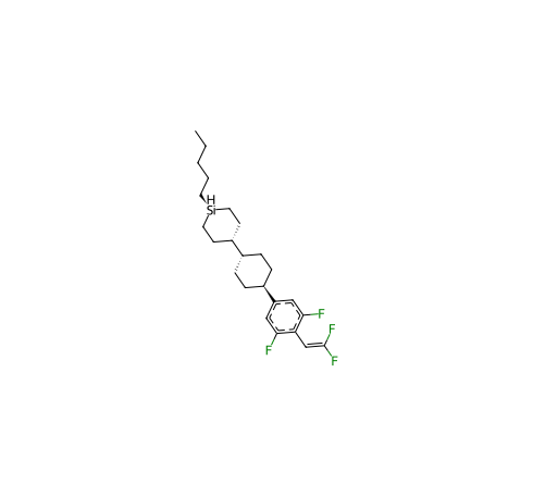 CCCCC[Si@H]1CC[C@H]([C@H]2CC[C@H](c3cc(F)c(C=C(F)F)c(F)c3)CC2)CC1